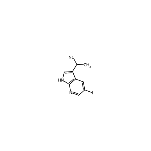 CC(C#N)c1c[nH]c2ncc(I)cc12